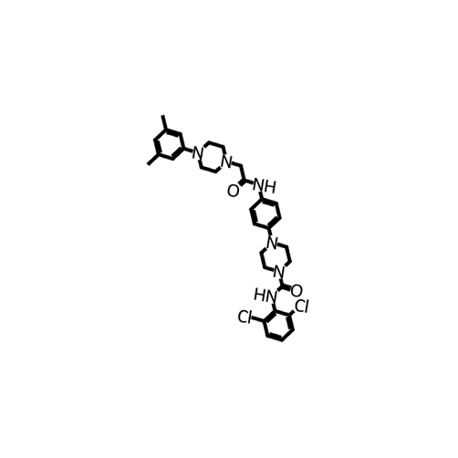 Cc1cc(C)cc(N2CCN(CC(=O)Nc3ccc(N4CCN(C(=O)Nc5c(Cl)cccc5Cl)CC4)cc3)CC2)c1